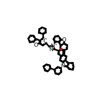 c1ccc(-c2cccc(-n3c4ccccc4c4cc(-c5ccc6oc7cccc([N+]89C(c%10ccccc%10)N8C9c8cc(-c9ccccc9)c9c(c8)oc8ccccc89)c7c6c5)ccc43)c2)cc1